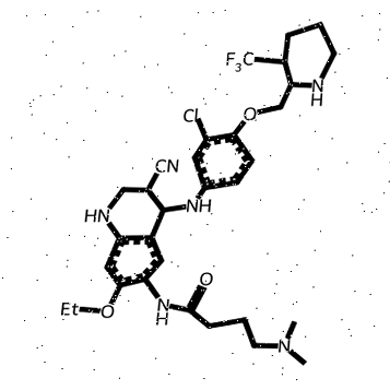 CCOc1cc2c(cc1NC(=O)CCCN(C)C)C(Nc1ccc(OCC3NCCCC3C(F)(F)F)c(Cl)c1)C(C#N)CN2